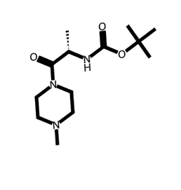 C[C@H](NC(=O)OC(C)(C)C)C(=O)N1CCN(C)CC1